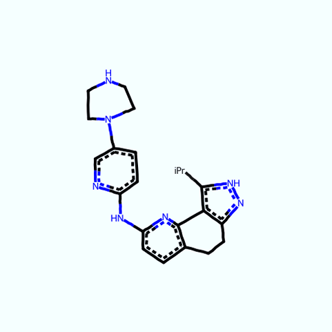 CC(C)c1[nH]nc2c1-c1nc(Nc3ccc(N4CCNCC4)cn3)ccc1CC2